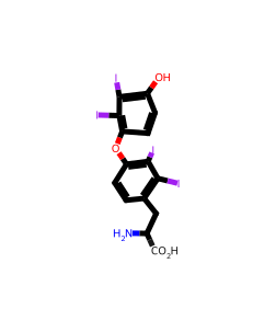 NC(Cc1ccc(Oc2ccc(O)c(I)c2I)c(I)c1I)C(=O)O